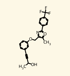 Cc1oc(-c2ccc(C(F)(F)F)cc2)nc1COc1cccc(C#CC(C)O)c1